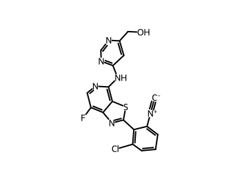 [C-]#[N+]c1cccc(Cl)c1-c1nc2c(F)cnc(Nc3cc(CO)ncn3)c2s1